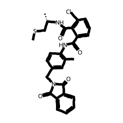 CSC[C@H](C)NC(=O)c1c(Cl)cccc1C(=O)Nc1ccc(CN2C(=O)c3ccccc3C2=O)cc1C